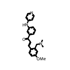 COc1ccc(C=CC(=O)c2cccc(Nc3ccncc3)c2)c(CN(C)C)c1